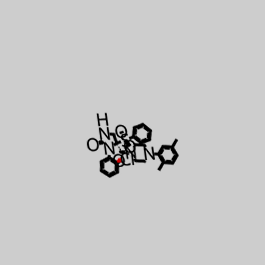 Cc1ccc(C)c(N2CCN(C(=O)[C@@]3(S(=O)(=O)c4ccccc4)CNC(=O)N3c3ccccc3Cl)CC2)c1